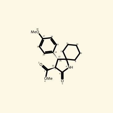 COC(=O)[C@@H]1C(=O)NC2(CCCCC2)[C@H]1c1ccc(OC)cc1